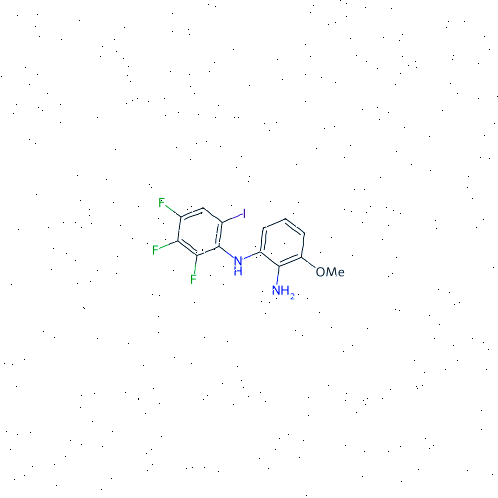 COc1cccc(Nc2c(I)cc(F)c(F)c2F)c1N